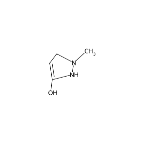 CN1CC=C(O)N1